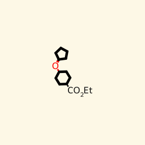 CCOC(=O)[C@H]1CC[C@@H](OC2CCCC2)CC1